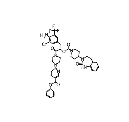 Nc1c(Cl)cc(C[C@@H](OC(=O)N2CCC(N3CCc4ccccc4NC3=O)CC2)C(=O)N2CCN(c3ccc(C(=O)Oc4ccccc4)cn3)CC2)cc1C(F)(F)F